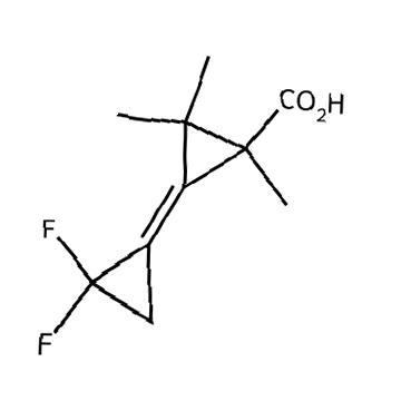 CC1(C)C(=C2CC2(F)F)C1(C)C(=O)O